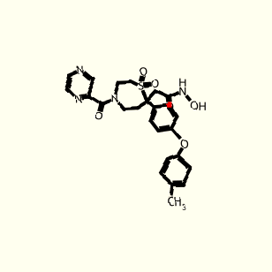 Cc1ccc(Oc2ccc(C3(CC(=O)NO)CCN(C(=O)c4cnccn4)CCS3(=O)=O)cc2)cc1